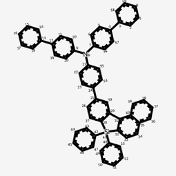 c1ccc(-c2ccc(N(c3ccc(-c4ccccc4)cc3)c3ccc(-c4ccc5c(c4)-c4c(ccc6ccccc46)[Si]5(c4ccccc4)c4ccccc4)cc3)cc2)cc1